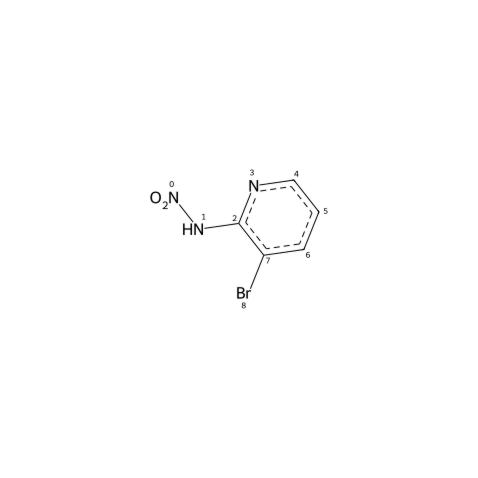 O=[N+]([O-])Nc1ncccc1Br